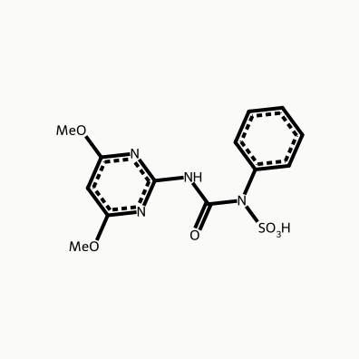 COc1cc(OC)nc(NC(=O)N(c2ccccc2)S(=O)(=O)O)n1